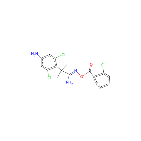 CC(C)(C(N)=NOC(=O)c1ccccc1Cl)c1c(Cl)cc(N)cc1Cl